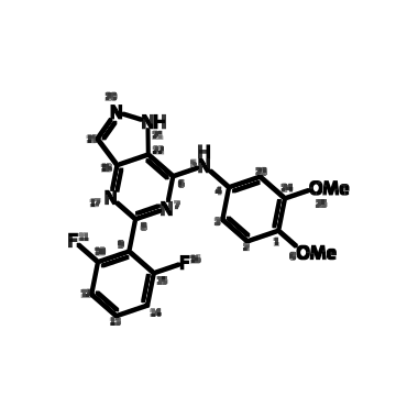 COc1ccc(Nc2nc(-c3c(F)cccc3F)nc3cn[nH]c23)cc1OC